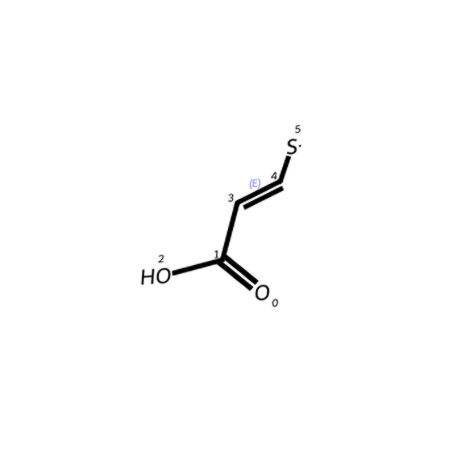 O=C(O)/C=C/[S]